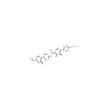 CCCCCc1ccc(-c2ccc(C(=O)Oc3ccc(-c4ccc(OCC)cc4F)cc3)c(F)c2F)cc1